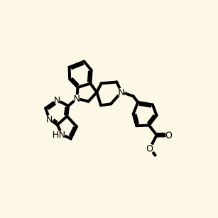 COC(=O)c1ccc(CN2CCC3(CC2)CN(c2ncnc4[nH]ccc24)c2ccccc23)cc1